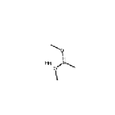 CO[SiH](C)OC.[HH]